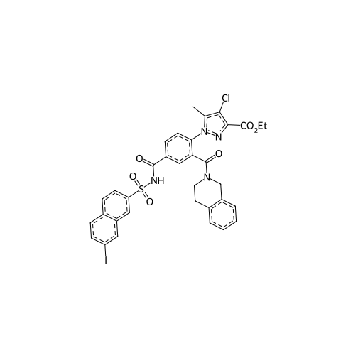 CCOC(=O)c1nn(-c2ccc(C(=O)NS(=O)(=O)c3ccc4ccc(I)cc4c3)cc2C(=O)N2CCc3ccccc3C2)c(C)c1Cl